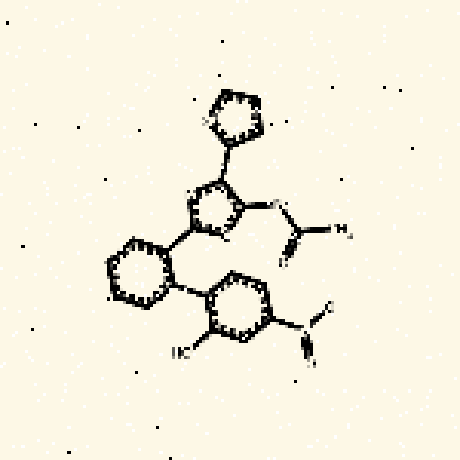 CC(=O)Nc1oc(-c2ccccc2-c2ccc([N+](=O)[O-])cc2O)nc1-c1cccs1